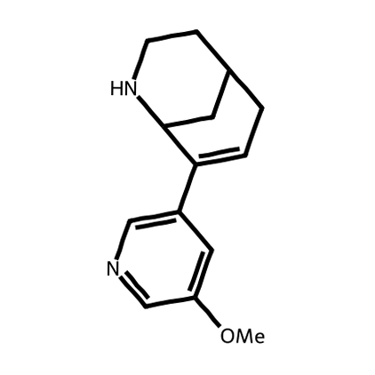 COc1cncc(C2=CCC3CCNC2C3)c1